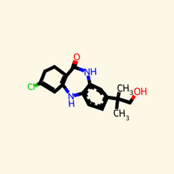 CC(C)(CO)c1ccc2c(c1)NC(=O)C1=C(C=C(Cl)CC1)N2